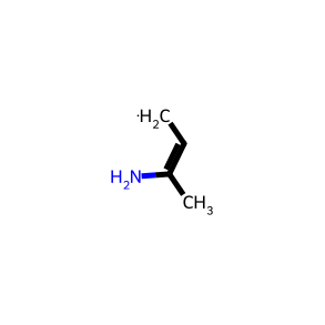 [CH2]C=C(C)N